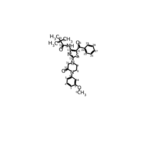 COc1cccc(N2CCN(c3nc(NC(=O)C(C)(C)C)c(C(=O)c4ccccc4)s3)CC2=O)c1